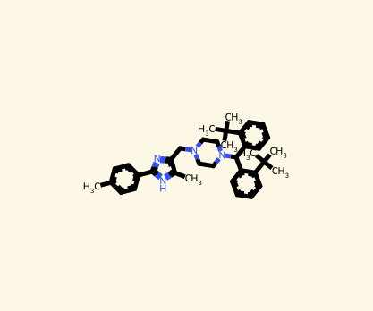 Cc1ccc(-c2nc(CN3CCN(C(c4ccccc4C(C)(C)C)c4ccccc4C(C)(C)C)CC3)c(C)[nH]2)cc1